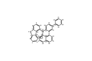 Clc1cccc2sc3cccc(N(c4ccc(-c5ccccc5)cc4)c4cccc5ccccc45)c3c12